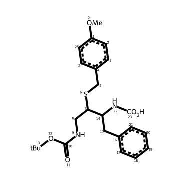 COc1ccc(CSC(CNC(=O)OC(C)(C)C)C(Cc2ccccc2)NC(=O)O)cc1